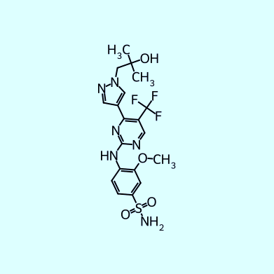 COc1cc(S(N)(=O)=O)ccc1Nc1ncc(C(F)(F)F)c(-c2cnn(CC(C)(C)O)c2)n1